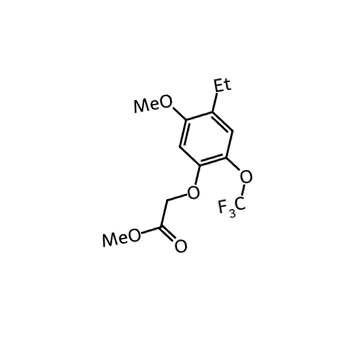 CCc1cc(OC(F)(F)F)c(OCC(=O)OC)cc1OC